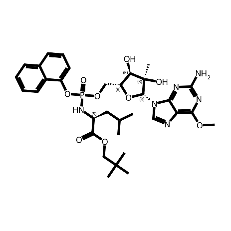 COc1nc(N)nc2c1ncn2[C@@H]1O[C@H](COP(=O)(N[C@@H](CC(C)C)C(=O)OCC(C)(C)C)Oc2cccc3ccccc23)[C@@H](O)[C@@]1(C)O